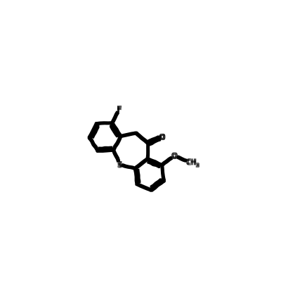 COc1cccc2c1C(=O)Cc1c(F)cccc1S2